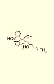 CCCCCC(O)C=CC(CO)=C(c1ccccc1C(=O)O)C1CCCC1O